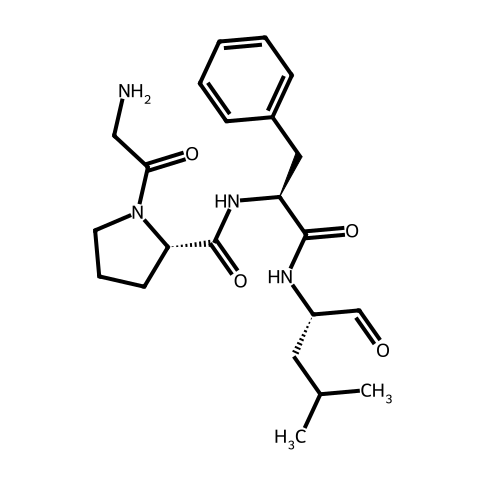 CC(C)C[C@@H](C=O)NC(=O)[C@H](Cc1ccccc1)NC(=O)[C@@H]1CCCN1C(=O)CN